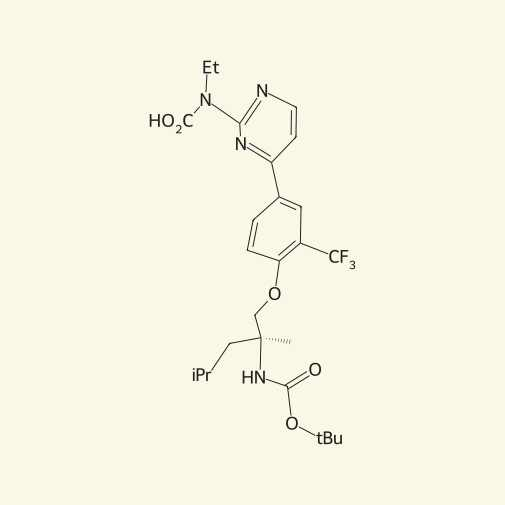 CCN(C(=O)O)c1nccc(-c2ccc(OC[C@](C)(CC(C)C)NC(=O)OC(C)(C)C)c(C(F)(F)F)c2)n1